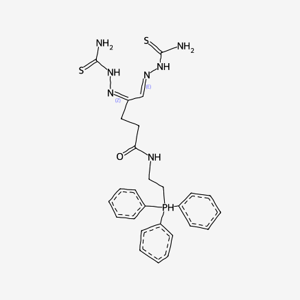 NC(=S)N/N=C(\C=N\NC(N)=S)CCC(=O)NCC[PH](c1ccccc1)(c1ccccc1)c1ccccc1